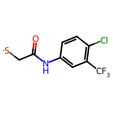 O=C(C[S])Nc1ccc(Cl)c(C(F)(F)F)c1